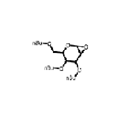 CCCCOCC1OC2OC2C(OCCCC)C1OCCCC